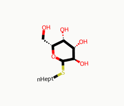 CCCCCCCSC1O[C@H](CO)[C@H](O)[C@H](O)[C@H]1O